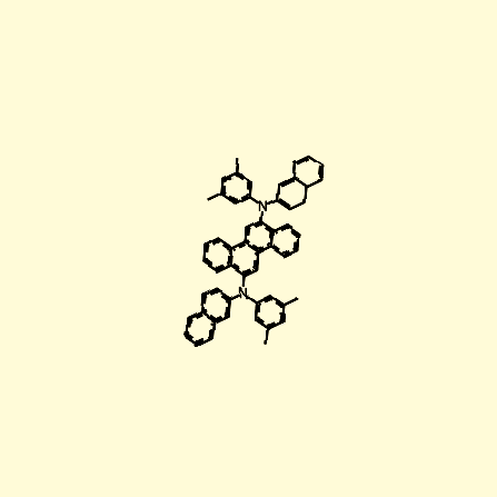 Cc1cc(C)cc(N(C2=CCC3C=CC=CC3=C2)c2cc3c4ccccc4c(N(c4cc(C)cc(C)c4)c4ccc5ccccc5c4)cc3c3ccccc23)c1